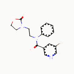 O=C1OCCN1CCN(C(=O)c1cncc(Br)c1)c1ccccc1